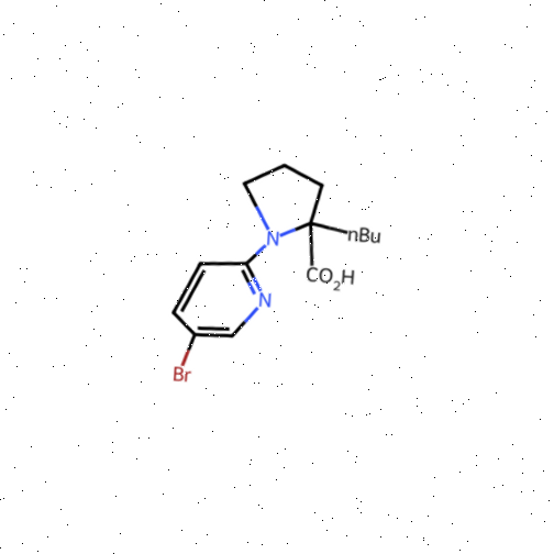 CCCCC1(C(=O)O)CCCN1c1ccc(Br)cn1